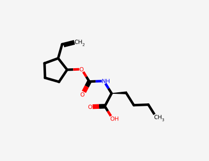 C=CC1CCCC1OC(=O)N[C@@H](CCCC)C(=O)O